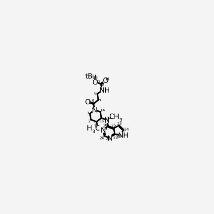 CC1CCN(C(=O)CCNC(=O)OC(C)(C)C)CC1N(C)c1ncnc2[nH]ccc12